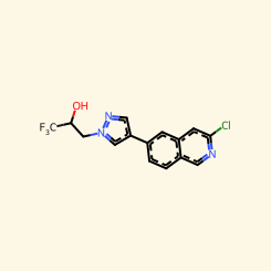 OC(Cn1cc(-c2ccc3cnc(Cl)cc3c2)cn1)C(F)(F)F